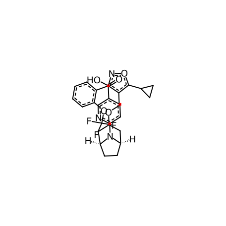 O=C(O)c1ccc(N2[C@@H]3CC[C@H]2CC(OCc2c(-c4ccccc4OC(F)(F)F)noc2C2CC2)C3)nc1